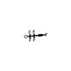 [O]C(F)(F)C(F)(F)C#CF